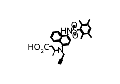 C#CCN(c1ccc(NS(=O)(=O)c2c(C)c(C)cc(C)c2C)c2ccccc12)[C@@H](C)CC(=O)O